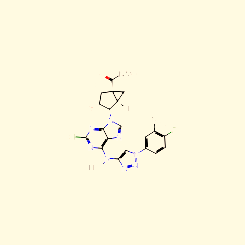 CNC(=O)[C@@]12C[C@@H]1[C@@H](n1cnc3c(N(C)c4cn(-c5ccc(F)c([N+](=O)[O-])c5)nn4)nc(Cl)nc31)[C@H](O)[C@@H]2O